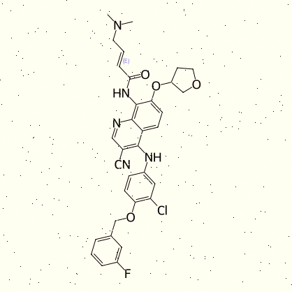 CN(C)C/C=C/C(=O)Nc1c(OC2CCOC2)ccc2c(Nc3ccc(OCc4cccc(F)c4)c(Cl)c3)c(C#N)cnc12